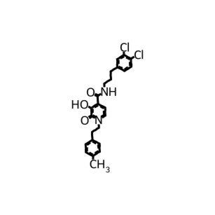 Cc1ccc(CCn2ccc(C(=O)NCCCc3ccc(Cl)c(Cl)c3)c(O)c2=O)cc1